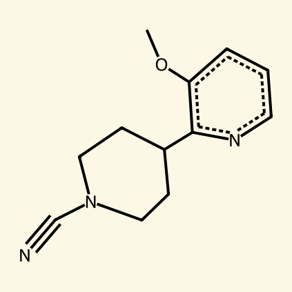 COc1cccnc1C1CCN(C#N)CC1